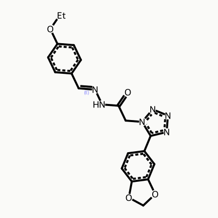 CCOc1ccc(/C=N/NC(=O)Cn2nnnc2-c2ccc3c(c2)OCO3)cc1